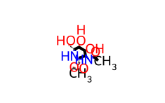 COC(=O)[C@@H]1N[C@H](CO)[C@@H](O)[C@H](O)[C@H]1NC(C)=O